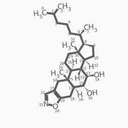 CC(C)CCC[C@@H](C)[C@H]1CC[C@H]2[C@@H]3[C@@H](O)[C@H](O)[C@H]4Cc5oncc5C[C@]4(C)[C@H]3CC[C@]12C